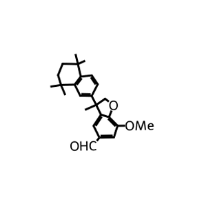 COc1cc(C=O)cc2c1OCC2(C)c1ccc2c(c1)C(C)(C)CCC2(C)C